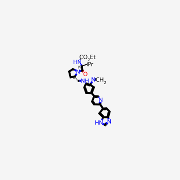 C=Nc1cc(-c2ccc(-c3ccc4nc[nH]c4c3)nc2)ccc1NC[C@@H]1CCCN1C(=O)[C@@H](NC(=O)OCC)C(C)C